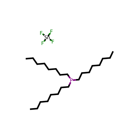 CCCCCCCCP(CCCCCCCC)CCCCCCCC.[F][Sn]([F])([F])[F]